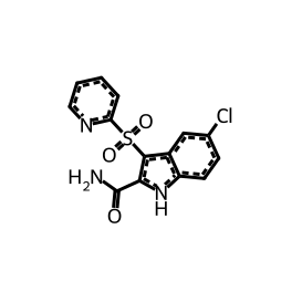 NC(=O)c1[nH]c2ccc(Cl)cc2c1S(=O)(=O)c1ccccn1